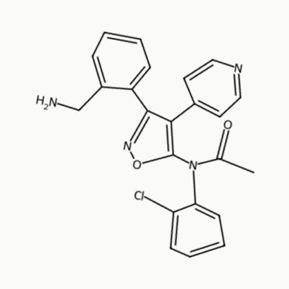 CC(=O)N(c1ccccc1Cl)c1onc(-c2ccccc2CN)c1-c1ccncc1